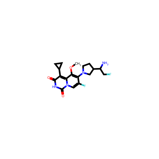 COc1c(N2CCC(C(N)CF)C2)c(F)cn2c(=O)[nH]c(=O)c(C3CC3)c12